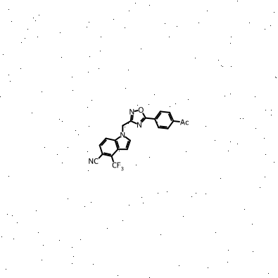 CC(=O)c1ccc(-c2nc(Cn3ccc4c(C(F)(F)F)c(C#N)ccc43)no2)cc1